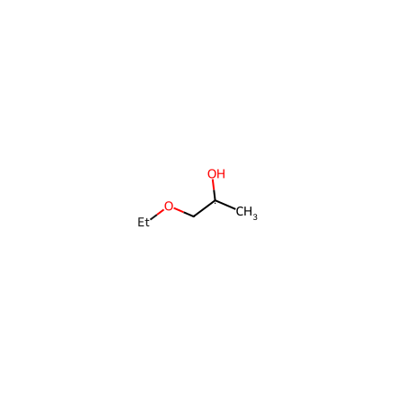 CCOC[C](C)O